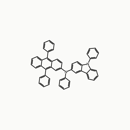 c1ccc(-c2c3ccccc3c(-c3ccccc3)c3cc(N(c4ccccc4)c4ccc5c(c4)c4ccccc4n5-c4ccccc4)ccc23)cc1